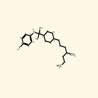 CCCC(C)CCCC1CCC(C(F)(F)Oc2ccc(F)cc2)CC1